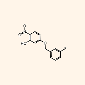 O=[N+]([O-])c1ccc(OCc2cccc(F)c2)cc1O